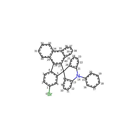 Brc1ccc2c(c1)C1(c3ccccc3N(c3ccccc3)c3ccccc31)c1c-2c2ccccc2c2ccccc12